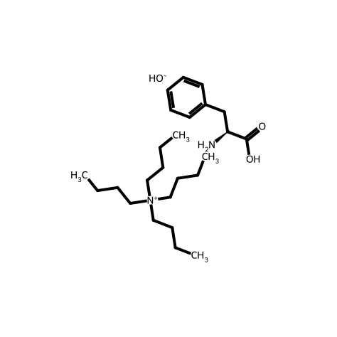 CCCC[N+](CCCC)(CCCC)CCCC.N[C@@H](Cc1ccccc1)C(=O)O.[OH-]